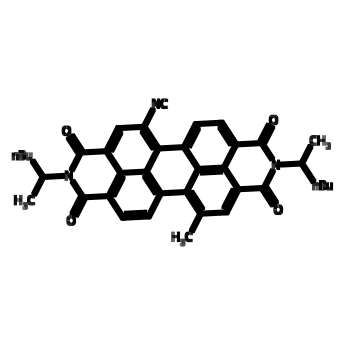 [C-]#[N+]c1cc2c3c(ccc4c5c(C)cc6c7c(ccc(c1c34)c75)C(=O)N(C(C)CCCC)C6=O)C(=O)N(C(C)CCCC)C2=O